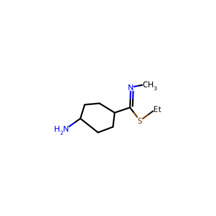 CCS/C(=N\C)C1CCC(N)CC1